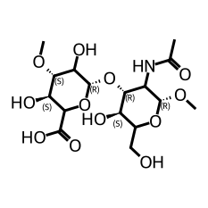 CO[C@@H]1OC(CO)[C@@H](O)[C@H](O[C@@H]2OC(C(=O)O)[C@@H](O)[C@H](OC)C2O)C1NC(C)=O